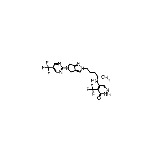 C[C@@H](CCCn1cc2c(n1)CN(c1ncc(C(F)(F)F)cn1)C2)Nc1cn[nH]c(=O)c1C(F)(F)F